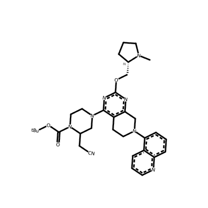 CN1CCC[C@H]1COc1nc2c(c(N3CCN(C(=O)OC(C)(C)C)C(CC#N)C3)n1)CCN(c1cccc3ncccc13)C2